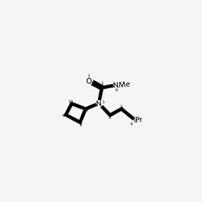 CNC(=O)N(CCC(C)C)C1CCC1